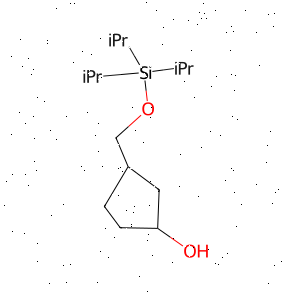 CC(C)[Si](OCC1CCC(O)C1)(C(C)C)C(C)C